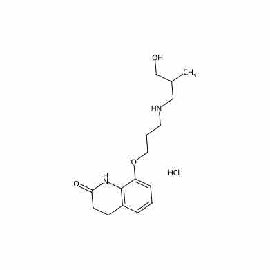 CC(CO)CNCCCOc1cccc2c1NC(=O)CC2.Cl